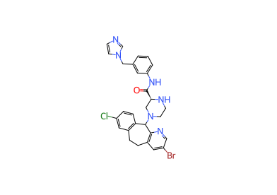 O=C(Nc1cccc(Cn2ccnc2)c1)[C@@H]1CN(C2c3ccc(Cl)cc3CCc3cc(Br)cnc32)CCN1